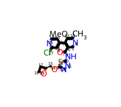 COc1c(C)ncc(C(=O)Nc2nnc(OC[C@@H]3CCO3)s2)c1-c1ccnc(Cl)c1